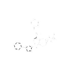 CN(C)S(=O)(=O)N1CCN(S(=O)(=O)c2ccc(-c3ccccc3)s2)[C@@H](C(=O)NOC2CCCCO2)C1